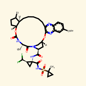 CCC1CC[C@H]2OC(=O)N[C@@H](C(C)(C)C)C(=O)N3C[C@@H](C[C@H]3C(=O)N[C@]3(C(=O)NS(=O)(=O)C4(C)CC4)C[C@H]3C(F)F)Oc3nc4cc(OC)ccc4nc3CCCCC[C@H]12